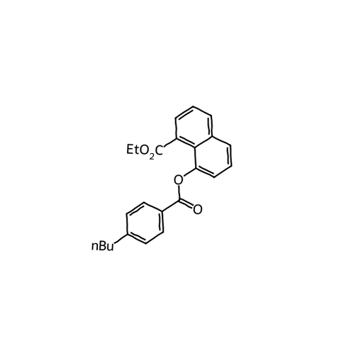 CCCCc1ccc(C(=O)Oc2cccc3cccc(C(=O)OCC)c23)cc1